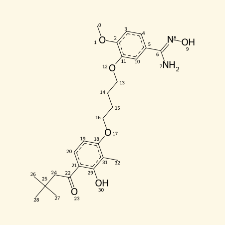 COc1ccc(/C(N)=N/O)cc1OCCCCOc1ccc(C(=O)CC(C)(C)C)c(O)c1C